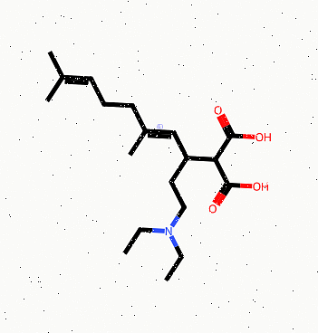 CCN(CC)CCC(/C=C(\C)CCC=C(C)C)C(C(=O)O)C(=O)O